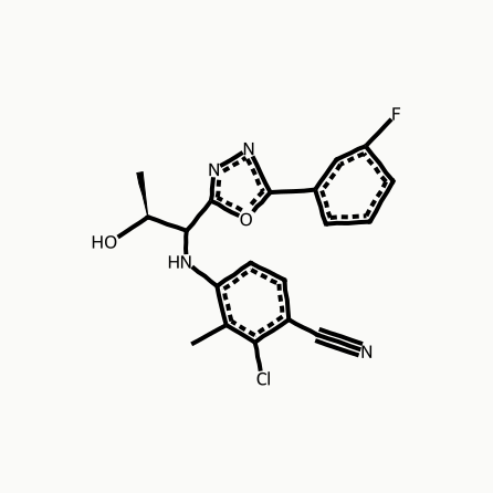 Cc1c(NC(c2nnc(-c3cccc(F)c3)o2)[C@H](C)O)ccc(C#N)c1Cl